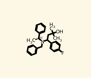 C[C@@H](c1ccccc1)N(Cc1ccccc1)C(CC(C)(C)O)c1ccc(F)cc1